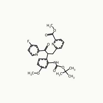 COC(=O)c1cccc(CC(C(=O)c2cc(F)ccn2)c2ccc(OC)cc2NC(=O)OC(C)(C)C)n1